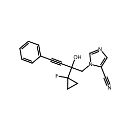 N#Cc1cncn1CC(O)(C#Cc1ccccc1)C1(F)CC1